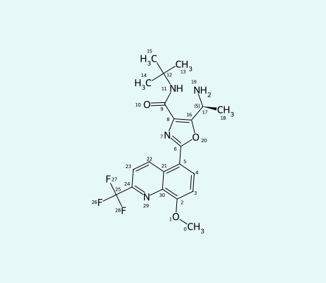 COc1ccc(-c2nc(C(=O)NC(C)(C)C)c([C@H](C)N)o2)c2ccc(C(F)(F)F)nc12